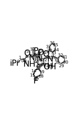 CC(C)C[C@H](N)C(=O)N[C@H](C(=O)N1C[C@H](c2ccc(F)cc2)[C@@H](O)C1C(=O)NC(c1ccccc1)c1ccccc1)C(C)C